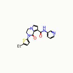 CCc1ccc(N2CCn3ccc(C(=O)Nc4cccnc4)c3C2=O)s1